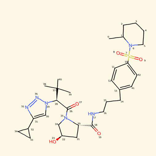 CC1CCCCN1S(=O)(=O)c1ccc(CCCNC(=O)[C@@H]2C[C@@H](O)CN2C(=O)[C@@H](n2cc(C3CC3)nn2)C(C)(C)C)cc1